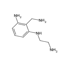 NCCNc1cccc(N)c1CN